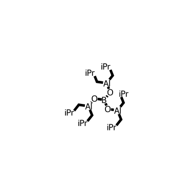 CC(C)[CH2][Al]([CH2]C(C)C)[O]B([O][Al]([CH2]C(C)C)[CH2]C(C)C)[O][Al]([CH2]C(C)C)[CH2]C(C)C